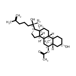 C=C(C)CCC[C@](C)(O)[C@H]1CC[C@H]2[C@@H]3C[C@H](OC(C)=O)[C@H]4C[C@@H](O)CC[C@]4(C)[C@H]3CC[C@@]21C